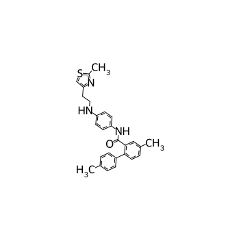 Cc1ccc(-c2ccc(C)cc2C(=O)Nc2ccc(NCCc3csc(C)n3)cc2)cc1